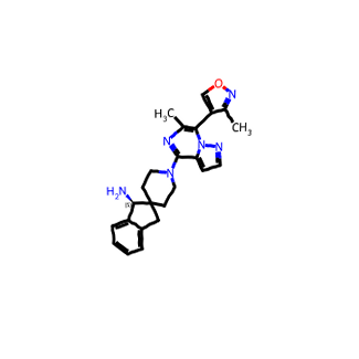 Cc1nocc1-c1c(C)nc(N2CCC3(CC2)Cc2ccccc2[C@H]3N)c2ccnn12